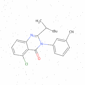 [CH2]C(c1nc2cccc(Cl)c2c(=O)n1-c1cccc(C#N)c1)C(C)(C)C